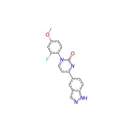 COc1ccc(-n2ccc(-c3ccc4[nH]ncc4c3)nc2=O)c(F)c1